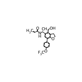 C=CC(=O)N[C@H](C)c1cc(-c2ccc(OC(F)(F)F)cc2)c2c(c1CO)CCO2